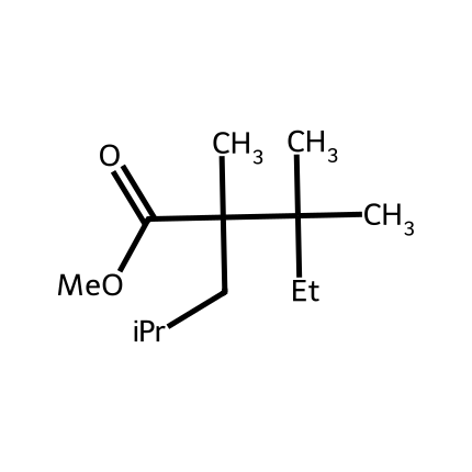 CCC(C)(C)C(C)(CC(C)C)C(=O)OC